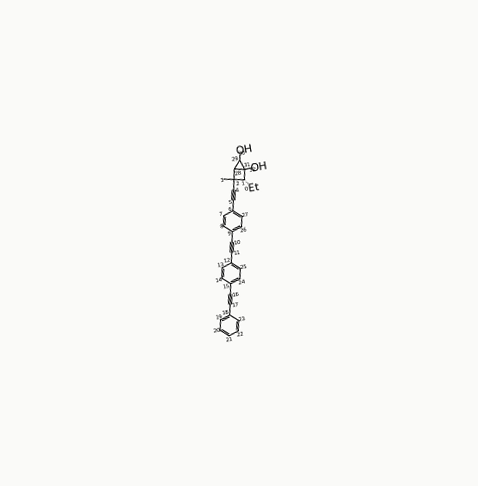 CC[C@@H]1C(C)(C#Cc2ccc(C#Cc3ccc(C#Cc4ccccc4)cc3)cc2)C2C(O)C21O